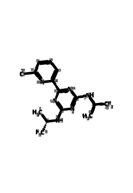 CC(Nc1nc(N[C@@H](C)C(F)(F)F)nc(-c2cccc(Cl)n2)n1)C(F)(F)F